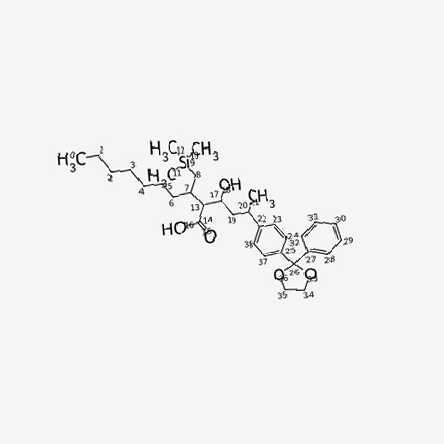 CCCCCCCC(C[Si](C)(C)C)C(C(=O)O)C(O)CC(C)c1ccc(C2(c3ccccc3)OCCO2)cc1